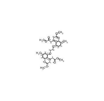 COC(=O)CN(CC(=O)OC)c1ccc(C)cc1OCCOc1ccc(C)cc1N(CC(=O)OC)CC(=O)OC